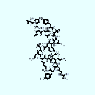 CC[C@H](C)[C@H](NC(=O)[C@@H]1C[C@@H](O)CN1C(=O)[C@@H](N)C(C)C)C(=O)N[C@@H](CC(C)C)C(=O)N[C@@H](Cc1ccc(O)cc1)C(=O)N[C@H](C(=O)N[C@@H](CC(N)=O)C(=O)N[C@@H](CCCNC(=N)N)C(=O)N[C@@H](CCN)C(=O)N[C@H](C(=O)N[C@H](CCN)C(=O)N[C@@H](CCCCN)C(=O)N[C@@H](CS)C(=O)N[C@@H](CCN)C(=O)N[C@@H](CCCNC(=N)N)C(=O)N[C@@H](Cc1ccc(O)cc1)C(=O)O)[C@@H](C)O)C(C)(C)S